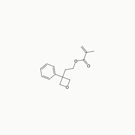 C=C(C)C(=O)OCCC1(c2ccccc2)COC1